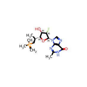 C=P(C)(C)CC(C)[C@H]1O[C@@H](n2cnc3c(=O)[nH]c(C)nc32)[C@H](F)[C@@H]1O